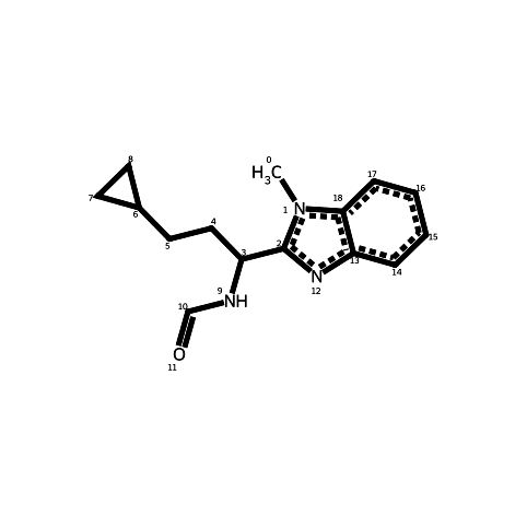 Cn1c(C(CCC2CC2)NC=O)nc2ccccc21